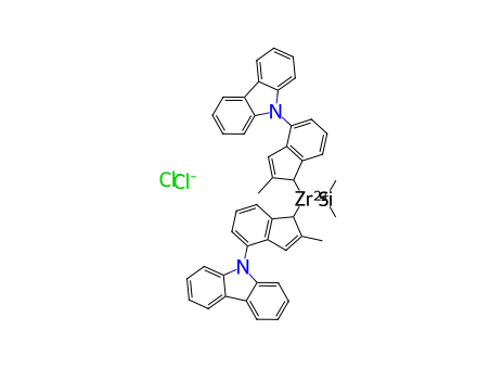 CC1=Cc2c(cccc2-n2c3ccccc3c3ccccc32)[CH]1[Zr+2]([CH]1C(C)=Cc2c1cccc2-n1c2ccccc2c2ccccc21)=[Si](C)C.[Cl-].[Cl-]